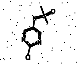 CS(C)(=O)=Nc1cnc(Cl)nc1